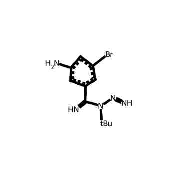 CC(C)(C)N(N=N)C(=N)c1cc(N)cc(Br)c1